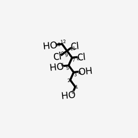 OCCC(O)C(O)C(Cl)C(Cl)(Cl)CO